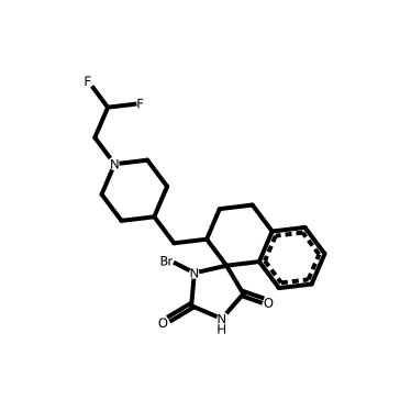 O=C1NC(=O)C2(c3ccccc3CCC2CC2CCN(CC(F)F)CC2)N1Br